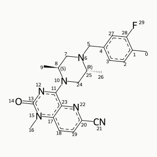 Cc1ccc(CN2C[C@H](C)N(c3nc(=O)n(C)c4ccc(C#N)nc34)C[C@H]2C)cc1F